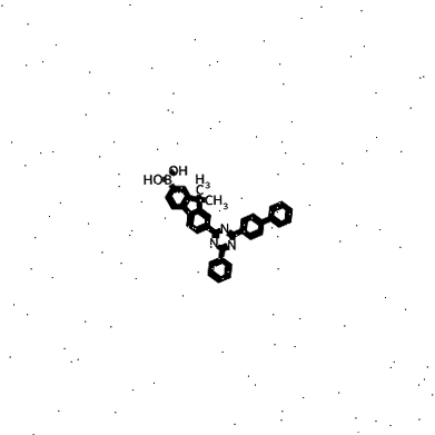 CC1(C)c2cc(B(O)O)ccc2-c2ccc(-c3nc(-c4ccccc4)nc(-c4ccc(-c5ccccc5)cc4)n3)cc21